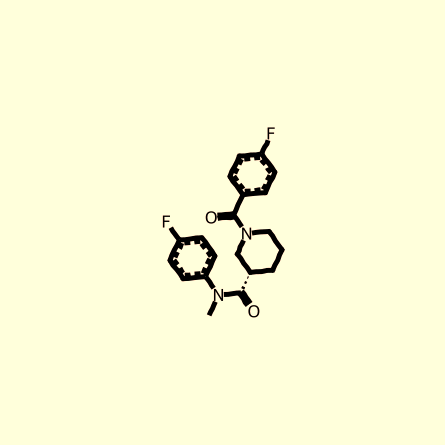 CN(C(=O)[C@H]1CCCN(C(=O)c2ccc(F)cc2)C1)c1ccc(F)cc1